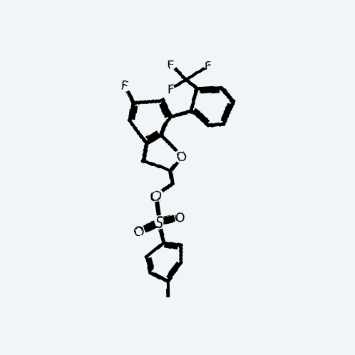 Cc1ccc(S(=O)(=O)OCC2Cc3cc(F)cc(-c4ccccc4C(F)(F)F)c3O2)cc1